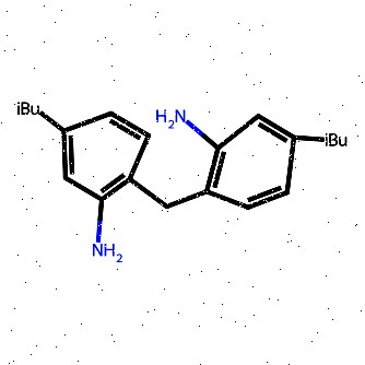 CCC(C)c1ccc(Cc2ccc(C(C)CC)cc2N)c(N)c1